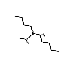 CCCC[SiH2][SiH](CCCC)[SiH2]C